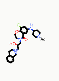 CC(=O)N1CCC(Nc2cc(F)c3c(c2)C(=O)N(C[C@H](O)CN2CCc4ccccc4C2)CCO3)CC1